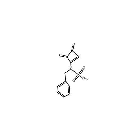 NS(=O)(=O)N(Cc1ccccc1)c1cc(=O)c1=O